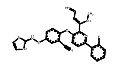 CN/C(=C\C=N)c1nc(-c2ccccc2F)ccc1Oc1ccc(SNC2NC=CS2)cc1C#N